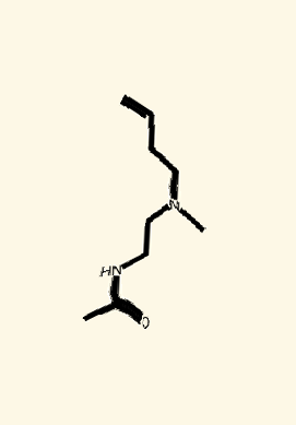 C=CCCN(C)CCNC(C)=O